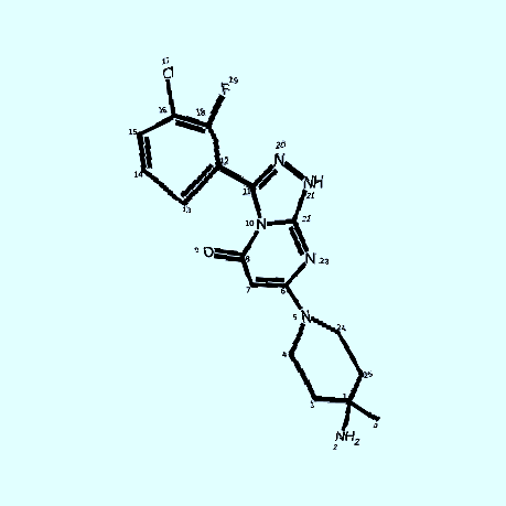 CC1(N)CCN(c2cc(=O)n3c(-c4cccc(Cl)c4F)n[nH]c3n2)CC1